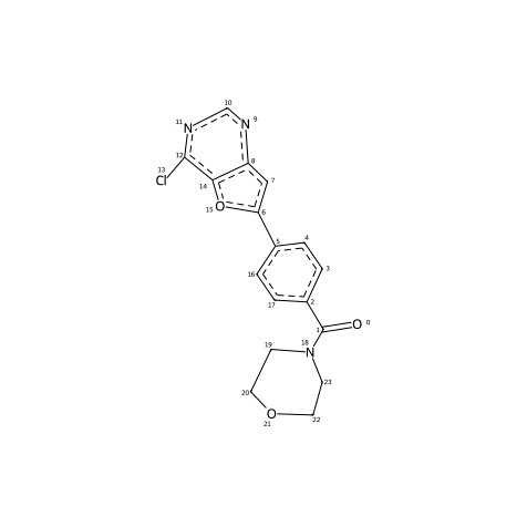 O=C(c1ccc(-c2cc3ncnc(Cl)c3o2)cc1)N1CCOCC1